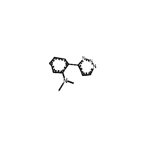 CN(C)c1ccccc1-c1ccnnn1